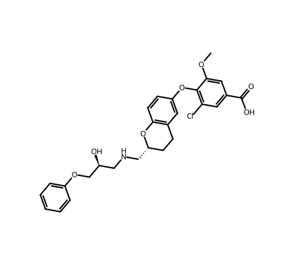 COc1cc(C(=O)O)cc(Cl)c1Oc1ccc2c(c1)CC[C@H](CNC[C@H](O)COc1ccccc1)O2